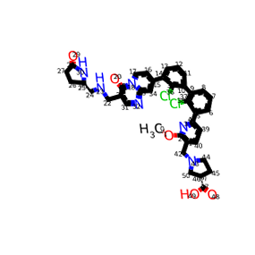 COc1nc(-c2cccc(-c3cccc(-c4ccn5c(=O)c(CNC[C@H]6CCC(=O)N6)cnc5c4)c3Cl)c2Cl)ccc1CN1CC[C@H](C(=O)O)C1